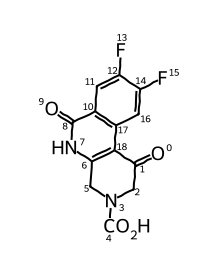 O=C1CN(C(=O)O)Cc2[nH]c(=O)c3cc(F)c(F)cc3c21